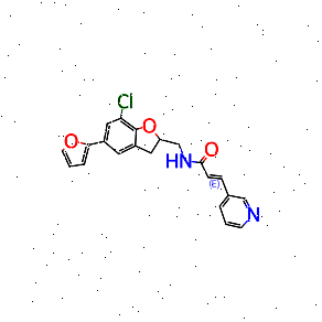 O=C(/C=C/c1cccnc1)NCC1Cc2cc(-c3ccco3)cc(Cl)c2O1